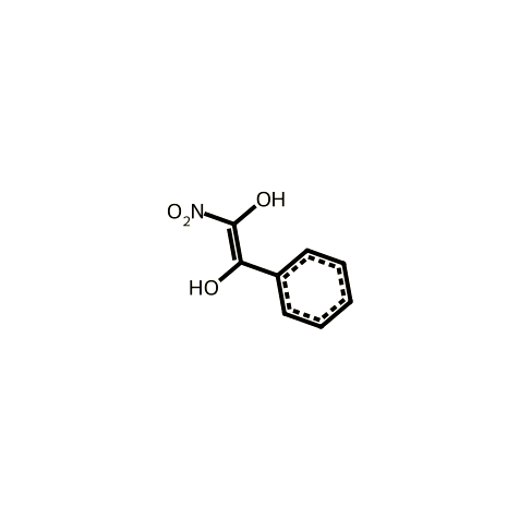 O=[N+]([O-])C(O)=C(O)c1ccccc1